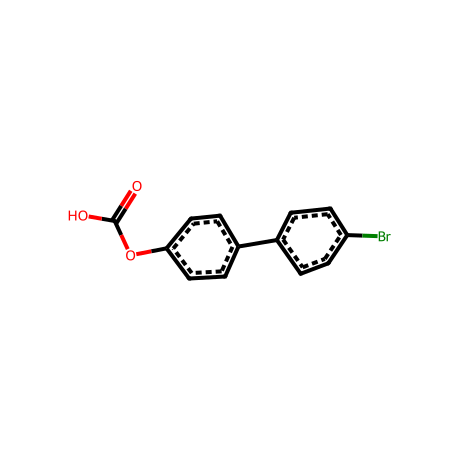 O=C(O)Oc1ccc(-c2ccc(Br)cc2)cc1